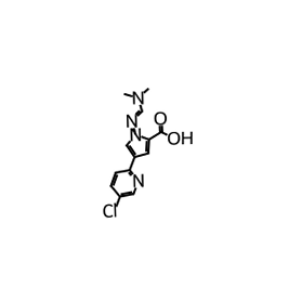 CN(C)C=Nn1cc(-c2ccc(Cl)cn2)cc1C(=O)O